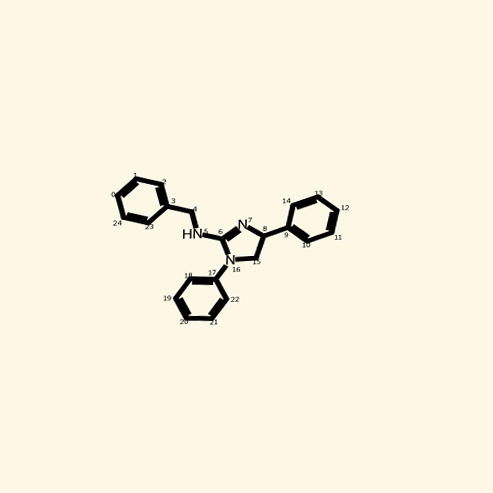 c1ccc(CNC2=NC(c3ccccc3)CN2c2ccccc2)cc1